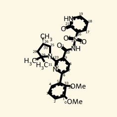 COc1cccc(-c2ccc(C(=O)NS(=O)(=O)c3ccc[nH]c3=O)c(N3C[C@@H](C)CC3(C)C)n2)c1OC